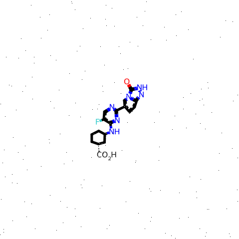 O=C(O)[C@@H]1CCCC(Nc2nc(-c3ccc4n[nH]c(=O)n4c3)ncc2F)C1